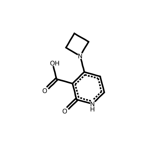 O=C(O)c1c(N2CCC2)cc[nH]c1=O